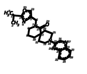 CC(C)c1nc(CN2CCCC3(CCN(c4cnc5ccccc5n4)CC3)C2=O)co1